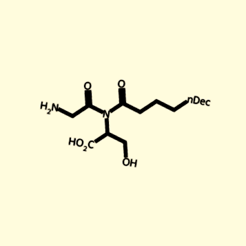 CCCCCCCCCCCCCC(=O)N(C(=O)CN)C(CO)C(=O)O